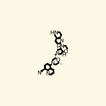 C[C@@H]1CN(c2ccc(C#N)c3ncccc23)C[C@H](CN2C[C@H]3OCCN(c4ccc5c(n4)CCNC5)[C@H]3C2)O1